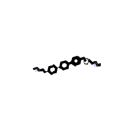 C/C=C/CCOCc1ccc(C2CCC([C@H]3CC[C@H](CC/C=C/C)CC3)CC2)cc1